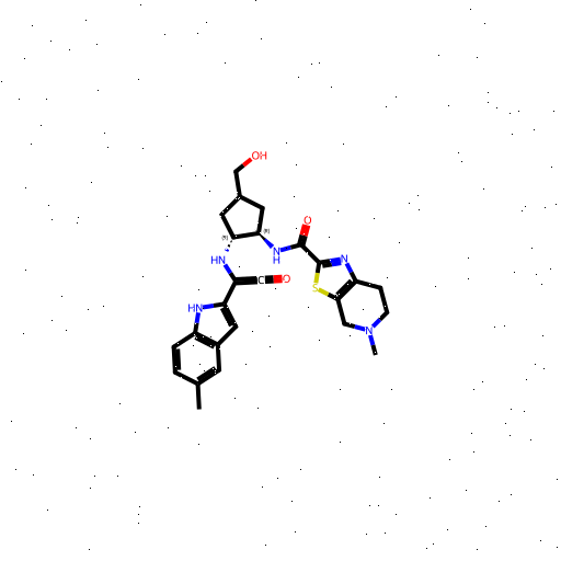 Cc1ccc2[nH]c(C(=C=O)N[C@@H]3CC(CO)C[C@H]3NC(=O)c3nc4c(s3)CN(C)CC4)cc2c1